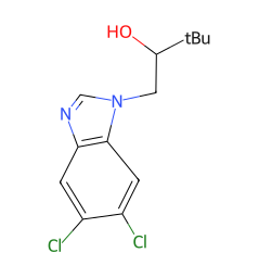 CC(C)(C)C(O)Cn1cnc2cc(Cl)c(Cl)cc21